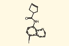 O=C(Nc1ccc(I)c2cccnc12)C1CC=CC1